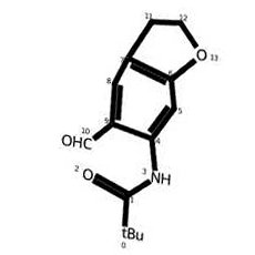 CC(C)(C)C(=O)Nc1cc2c(cc1C=O)CCO2